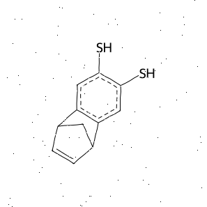 Sc1cc2c(cc1S)C1C=CC2C1